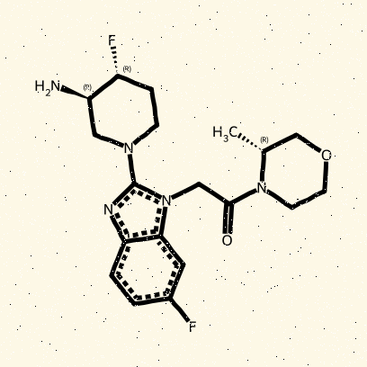 C[C@@H]1COCCN1C(=O)Cn1c(N2CC[C@@H](F)[C@H](N)C2)nc2ccc(F)cc21